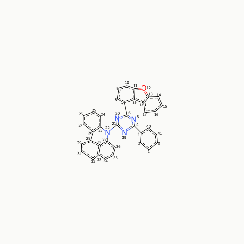 c1ccc(-c2nc(-c3cccc4oc5ccccc5c34)nc(N3c4ccccc4-c4cccc5cccc3c45)n2)cc1